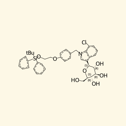 CC(C)(C)[Si](OCCOc1ccc(Cn2cc([C@@H]3O[C@H](CO)[C@@H](O)[C@H](O)[C@H]3O)c3cccc(Cl)c32)cc1)(c1ccccc1)c1ccccc1